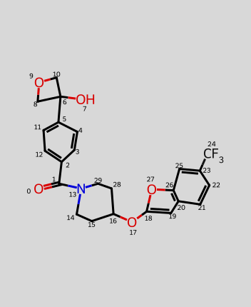 O=C(c1ccc(C2(O)COC2)cc1)N1CCC(Oc2cc3ccc(C(F)(F)F)cc3o2)CC1